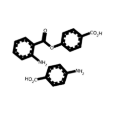 Nc1ccc(C(=O)O)cc1.Nc1ccccc1C(=O)Oc1ccc(C(=O)O)cc1